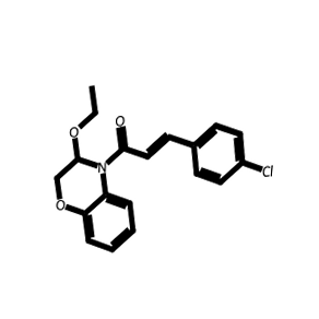 CCOC1COc2ccccc2N1C(=O)C=Cc1ccc(Cl)cc1